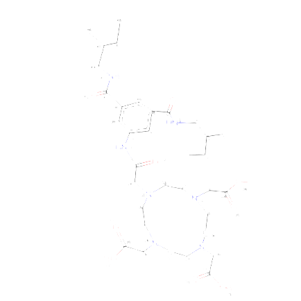 CCC(C)CNC(=O)c1cc(NC(=O)CN2CCN(CC(=O)O)CCN(CC(=O)O)CCN(CC(=O)O)CC2)cc(C(=O)NCC(C)CC)c1